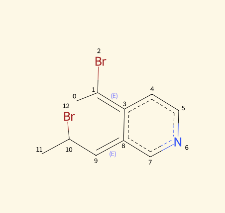 C/C(Br)=c1/ccnc/c1=C/C(C)Br